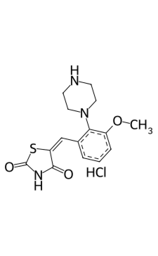 COc1cccc(C=C2SC(=O)NC2=O)c1N1CCNCC1.Cl